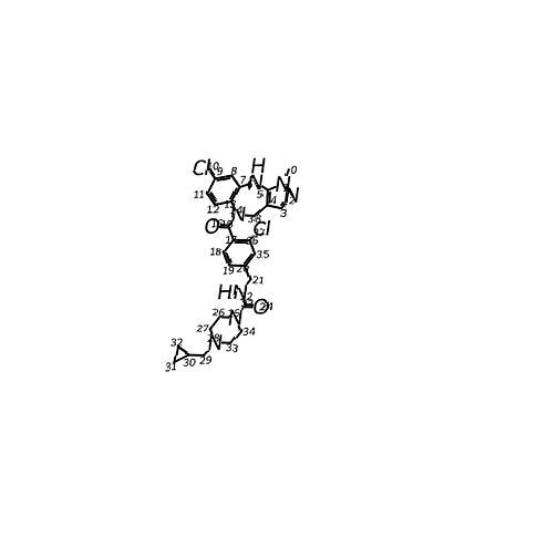 Cn1ncc2c1Nc1cc(Cl)ccc1N(C(=O)c1ccc(CNC(=O)N3CCN(CC4CC4)CC3)cc1Cl)C2